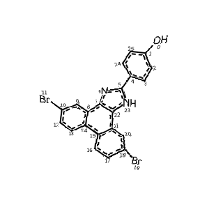 Oc1ccc(-c2nc3c4cc(Br)ccc4c4ccc(Br)cc4c3[nH]2)cc1